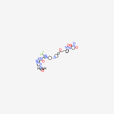 Cn1c(=O)n(C2CCC(=O)NC2=O)c2cccc(CCC(=O)C3CC4(CCN(C[C@H]5CC[C@H](n6cc(NC(=O)c7cnn8ccc(N9C[C@H]%10C[C@@H]9CO%10)nc78)c(C(F)F)n6)CC5)CC4)C3)c21